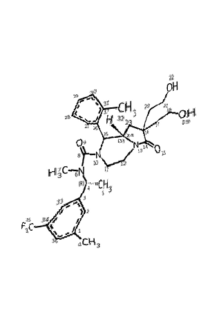 Cc1cc([C@@H](C)N(C)C(=O)N2CCN3C(=O)C(CCO)(CCO)C[C@H]3C2c2ccccc2C)cc(C(F)(F)F)c1